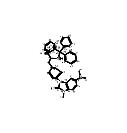 COC(=O)C(Cc1ccc(-n2c(=O)n(C)c3ccc(N(C)C)cc32)cc1)NC(c1ccccc1)(c1ccccc1)c1ccccc1